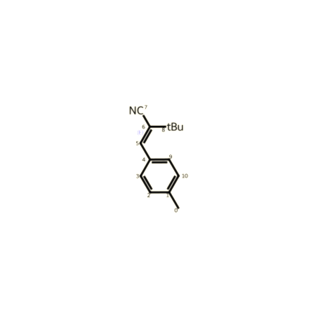 Cc1ccc(/C=C(/C#N)C(C)(C)C)cc1